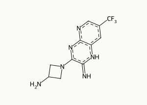 N=c1[nH]c2cc(C(F)(F)F)cnc2nc1N1CC(N)C1